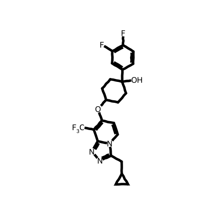 OC1(c2ccc(F)c(F)c2)CCC(Oc2ccn3c(CC4CC4)nnc3c2C(F)(F)F)CC1